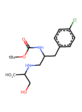 CC(C)(C)OC(=O)NC(CNC(CO)C(=O)O)Cc1ccc(Cl)cc1